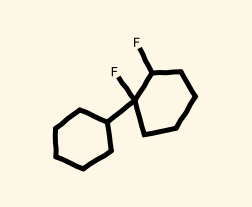 FC1CCCCC1(F)C1CCCCC1